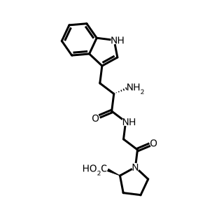 N[C@@H](Cc1c[nH]c2ccccc12)C(=O)NCC(=O)N1CCC[C@H]1C(=O)O